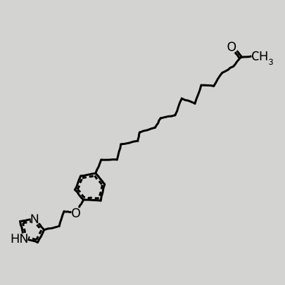 CC(=O)CCCCCCCCCCCCCCc1ccc(OCCc2c[nH]cn2)cc1